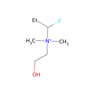 CCC(F)[N+](C)(C)CCO